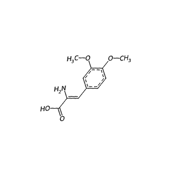 COc1ccc(C=C(N)C(=O)O)cc1OC